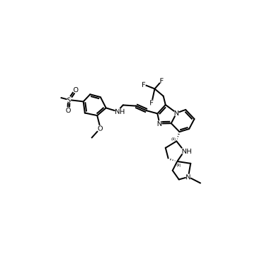 COc1cc(S(C)(=O)=O)ccc1NCC#Cc1nc2c([C@H]3CC[C@]4(CCN(C)C4)N3)cccn2c1CC(F)(F)F